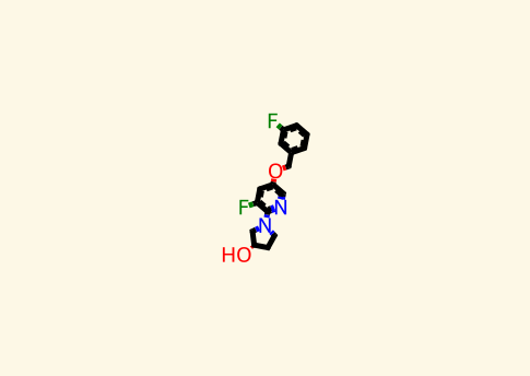 O[C@@H]1CCN(c2ncc(OCc3cccc(F)c3)cc2F)C1